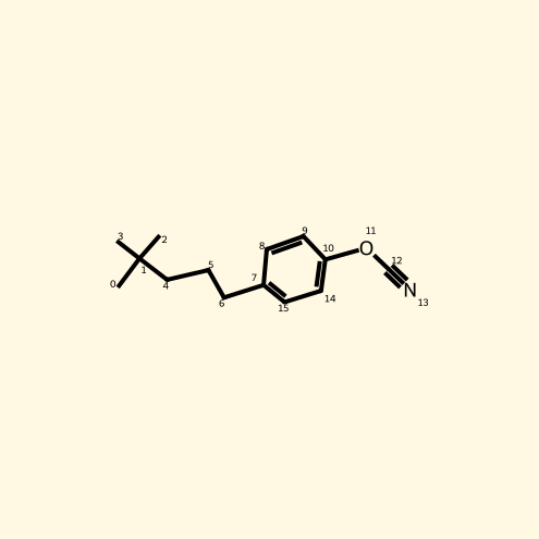 CC(C)(C)CCCc1ccc(OC#N)cc1